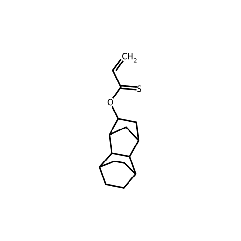 C=CC(=S)OC1CC2CC1C1C3CCC(CC3)C21